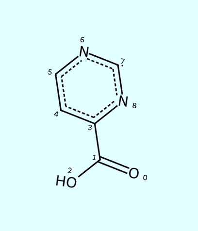 O=C(O)c1ccn[c]n1